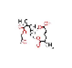 C=C(C)C(=O)OCC1CO1.C=C(CC=CC(=O)O)C(=O)OCC